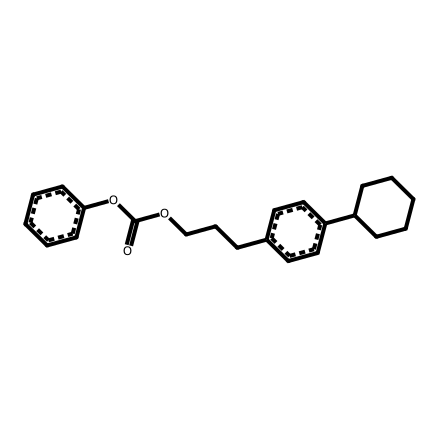 O=C(OCCCc1ccc(C2CCCCC2)cc1)Oc1ccccc1